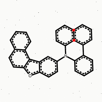 c1ccc(-c2ccccc2N(c2ccccc2)c2ccc3oc4ccc5ccccc5c4c3c2)cc1